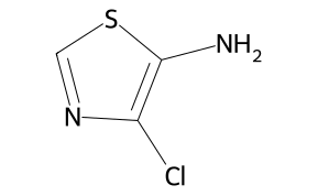 Nc1scnc1Cl